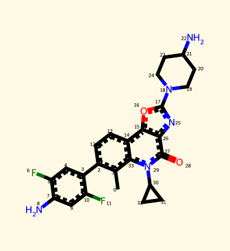 Cc1c(-c2cc(F)c(N)cc2F)ccc2c3oc(N4CCC(N)CC4)nc3c(=O)n(C3CC3)c12